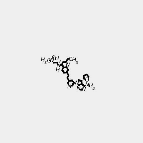 CCc1cc(NCCN(C)C)c2ccc(CCc3cncc(-n4cc([C@@H]5CCCO5)c5c(N)ncnc54)c3)cc2n1